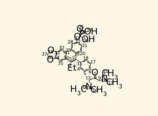 CCC(=C(c1ccc(OC(CN(C)C)CN(C)C)cc1)c1ccc(OP(=O)(O)O)cc1)c1ccc2c(c1)OCO2